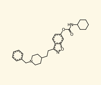 O=C(NC1CCCCC1)Oc1ccc2c(CCC3CCN(Cc4ccccc4)CC3)noc2c1